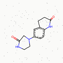 O=C1CN(c2ccc3c(c2)CCC(=O)N3)CCN1